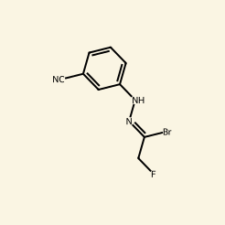 N#Cc1cccc(NN=C(Br)CF)c1